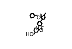 Cc1ccc(-c2ccc(N3CCC(CO)CC3=O)c(F)c2)c(OCc2ccccc2)n1